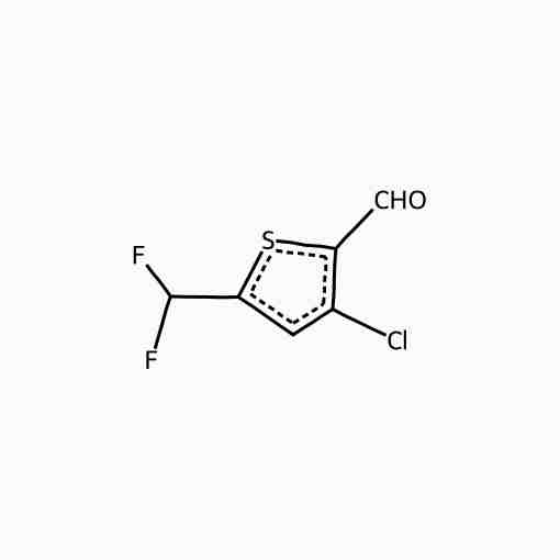 O=Cc1sc(C(F)F)cc1Cl